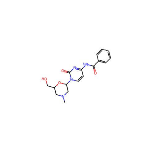 CN1CC(CO)OC(n2ccc(NC(=O)c3ccccc3)nc2=O)C1